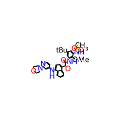 COc1c(NC(=O)C(=O)c2ccc(Nc3ccnc(N4CCOCC4)c3)c3ccccc23)cc(C(C)(C)C)cc1NS(C)(=O)=O